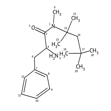 CN(C(=O)C(N)Cc1ccccc1)C(C)(C)CC(C)(C)C